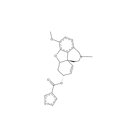 COc1ccc2c3c1OC1C[C@@H](OC(=O)c4ccsc4)C=C[C@@]31CCN(C)C2